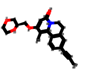 CCc1c(OC[C@@H]2COCCO2)cc(=O)n2c1-c1ccc(C#CC(C)C)cc1CC2